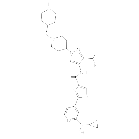 CN(c1cc(-c2nc(C(=O)Nc3cn(C4CCN(CC5CCNCC5)CC4)nc3C(F)F)co2)ccn1)C1CC1